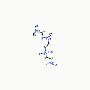 CNCC[N+](C)(C)CCN(C)CCN(C)C